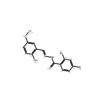 O=C(N/N=C/c1cc(OC(F)(F)F)ccc1O)c1ccc(Br)cc1Br